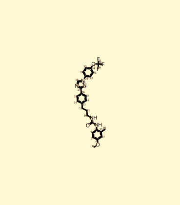 COc1ccc(NC(=O)NCCCc2ccc(-c3ncn(-c4ccc(OC(F)(F)F)cc4)n3)cc2)c(C)c1